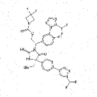 CC(C)(C)C[C@]1(c2ccc(-c3cnn(C(F)F)c3)cc2)NC(=N)N([C@H](COC(=O)N2CC(F)(F)C2)c2ccc(Cl)c(-n3ncnc3C(F)F)c2)C1=O